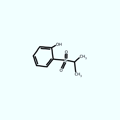 CC(C)S(=O)(=O)c1ccccc1O